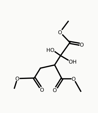 COC(=O)CC(C(=O)OC)C(O)(O)C(=O)OC